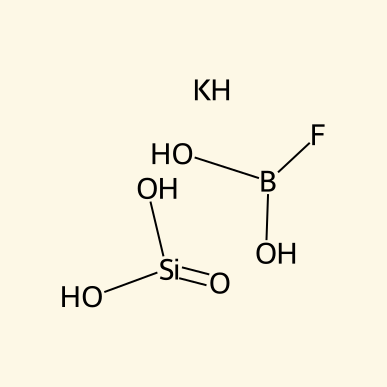 O=[Si](O)O.OB(O)F.[KH]